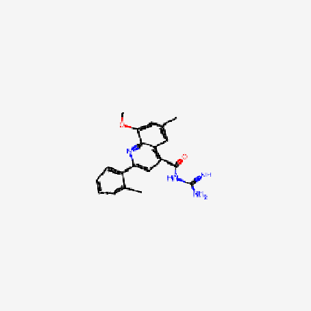 COc1cc(C)cc2c(C(=O)NC(=N)N)cc(-c3ccccc3C)nc12